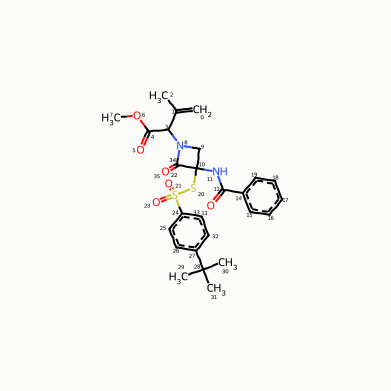 C=C(C)C(C(=O)OC)N1CC(NC(=O)c2ccccc2)(SS(=O)(=O)c2ccc(C(C)(C)C)cc2)C1=O